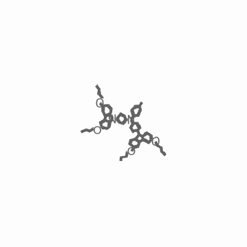 CCCCOc1ccc2c(c1)-c1cc(OCCCC)ccc1C2c1ccc(N(c2ccc(C)cc2)c2ccc(-n3c4ccc(OCCCC)cc4c4cc(OCCCC)ccc43)cc2)cc1